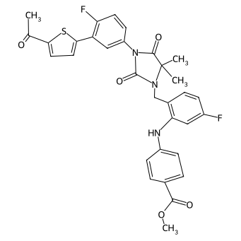 COC(=O)c1ccc(Nc2cc(F)ccc2CN2C(=O)N(c3ccc(F)c(-c4ccc(C(C)=O)s4)c3)C(=O)C2(C)C)cc1